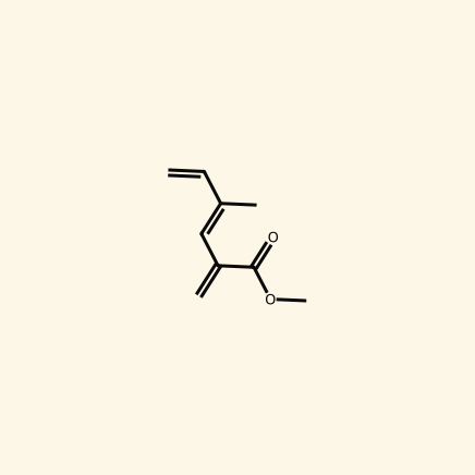 C=CC(C)=CC(=C)C(=O)OC